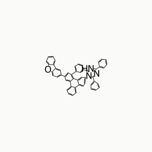 c1ccc(C2=NC(c3ccccc3)NC(c3cccc(-c4cc(-c5ccc6oc7ccccc7c6c5)cc5c6ccccc6c6ccccc6c45)c3)=N2)cc1